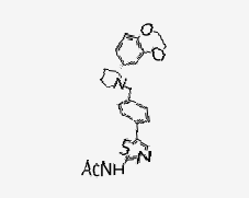 CC(=O)Nc1ncc(-c2ccc(CN3CCC[C@@H]3c3ccc4c(c3)OCCO4)cc2)s1